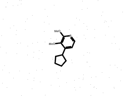 COc1bccc(C2CCCC2)c1OC